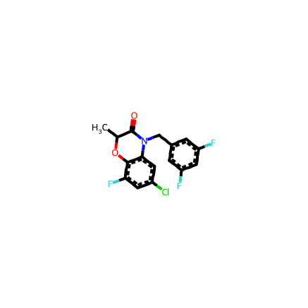 CC1Oc2c(F)cc(Cl)cc2N(Cc2cc(F)cc(F)c2)C1=O